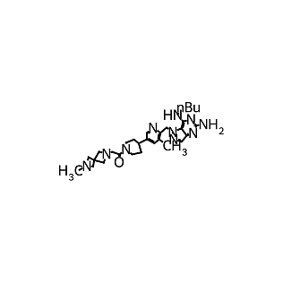 CCCCNc1nc(N)nc2cnn(Cc3ncc(C4CCN(C(=O)CN5CC6(CN(C)C6)C5)CC4)cc3C)c12